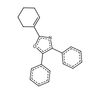 C1=C(c2nc(-c3ccccc3)c(-c3ccccc3)o2)CCCC1